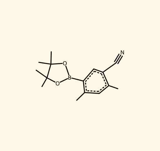 Cc1cc(C)c(B2OC(C)(C)C(C)(C)O2)cc1C#N